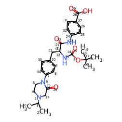 CC(C)N1CCN(c2ccc(C[C@H](NC(=O)OC(C)(C)C)C(=O)Nc3ccc(C(=O)O)cc3)cc2)C(=O)C1